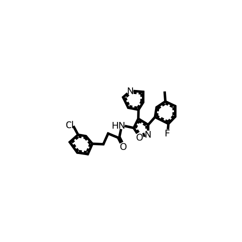 Cc1ccc(F)c(-c2noc(NC(=O)CCc3cccc(Cl)c3)c2-c2ccncc2)c1